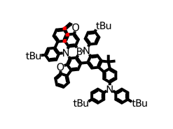 CC(C)(C)c1ccc(N2B3c4cc5occc5cc4N(c4ccc(C(C)(C)C)cc4-c4ccccc4)c4c3c(cc3c4oc4ccccc43)-c3cc4c(cc32)C(C)(C)c2ccc(N(c3ccc(C(C)(C)C)cc3)c3ccc(C(C)(C)C)cc3)cc2-4)cc1